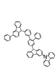 c1ccc(-c2ccc3c(c2)-c2ccccc2C3c2cccc(-c3ccc(C4c5ccccc5-c5cc(-n6c7ccccc7c7ccccc76)ccc54)cc3-c3ccccc3)c2)cc1